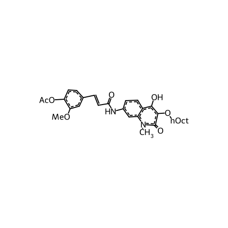 CCCCCCCCOc1c(O)c2ccc(NC(=O)C=Cc3ccc(OC(C)=O)c(OC)c3)cc2n(C)c1=O